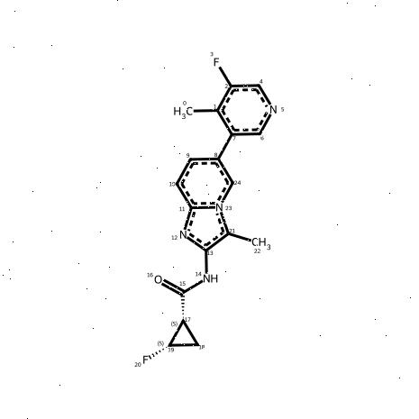 Cc1c(F)cncc1-c1ccc2nc(NC(=O)[C@@H]3C[C@@H]3F)c(C)n2c1